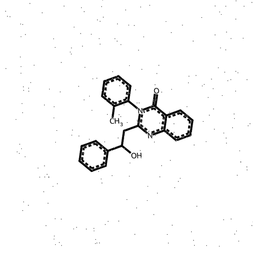 Cc1ccccc1-n1c(CC(O)c2ccccc2)nc2ccccc2c1=O